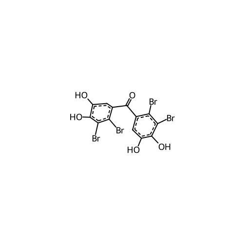 O=C(c1cc(O)c(O)c(Br)c1Br)c1cc(O)c(O)c(Br)c1Br